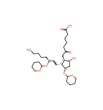 CCCCC[C@@H](/C=C/[C@@H]1[C@@H](CC(=O)CCCCC(=O)O)[C@@H](O)C[C@H]1OC1CCCCO1)OC1CCCCO1